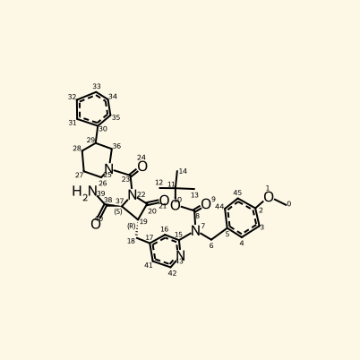 COc1ccc(CN(C(=O)OC(C)(C)C)c2cc(C[C@H]3C(=O)N(C(=O)N4CCCC(c5ccccc5)C4)[C@@H]3C(N)=O)ccn2)cc1